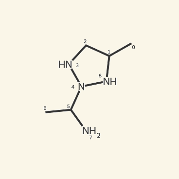 CC1CNN(C(C)N)N1